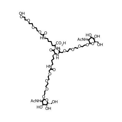 CC(=O)N[C@H]1[C@H](OCCOCCOCCOCC(=O)NCCCC[C@H](NC(=O)COCCOCCOCCO[C@@H]2O[C@H](CO)[C@H](O)[C@H](O)[C@H]2NC(C)=O)C(=O)N[C@@H](CCCCNC(=O)COCCOCCOCCOO)C(=O)O)O[C@H](CO)[C@H](O)[C@@H]1O